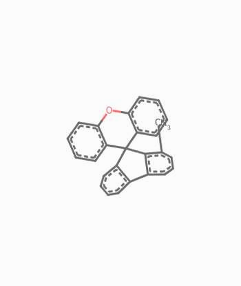 Cc1cccc2c1C1(c3ccccc3Oc3ccccc31)c1ccccc1-2